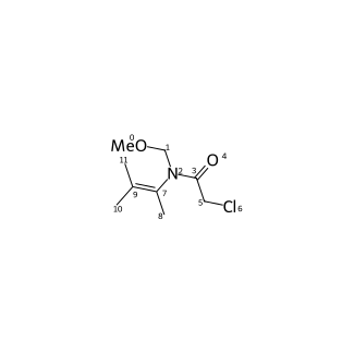 COCN(C(=O)CCl)C(C)=C(C)C